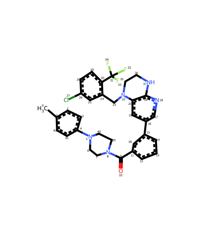 Cc1ccc(N2CCN(C(=O)c3cccc(-c4cnc5c(c4)N(Cc4cc(Cl)ccc4C(F)(F)F)CCN5)c3)CC2)cc1